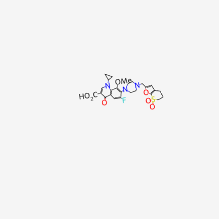 COc1c(N2CCN(Cc3cc4c(o3)S(=O)(=O)CCC4)CC2)c(F)cc2c(=O)c(C(=O)O)cn(C3CC3)c12